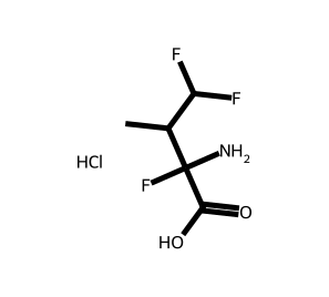 CC(C(F)F)C(N)(F)C(=O)O.Cl